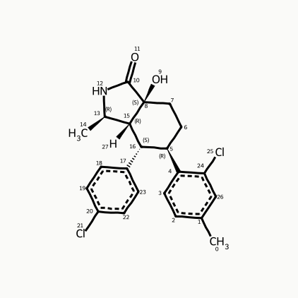 Cc1ccc([C@@H]2CC[C@@]3(O)C(=O)N[C@H](C)[C@H]3[C@H]2c2ccc(Cl)cc2)c(Cl)c1